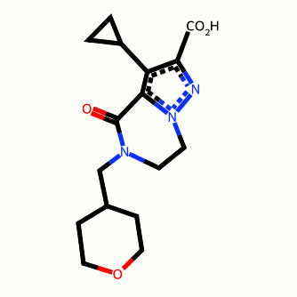 O=C(O)c1nn2c(c1C1CC1)C(=O)N(CC1CCOCC1)CC2